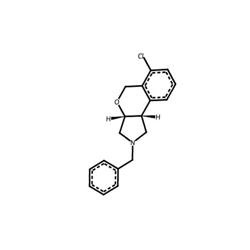 Clc1cccc2c1CO[C@H]1CN(Cc3ccccc3)C[C@@H]21